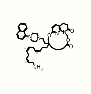 CC/C=C\C/C=C\C/C=C\CCC1(CCN2CCN(c3cccc4ccccc34)CC2)CCCCC(=O)OCN2C(=O)CCc3ccc(nc32)OC1